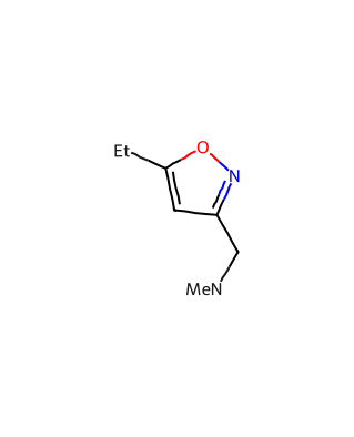 CCc1cc(CNC)no1